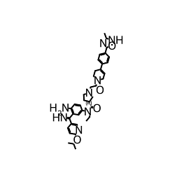 CCN(C(=O)[C@@H]1CCN(CC(=O)N2CC=C(c3ccc(C4=NC(C)NO4)cc3)CC2)C1)c1ccc(N)c(C(=N)c2ccc(OC(C)C)nc2)c1